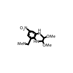 CNCc1cc([N+](=O)[O-])cc2c1NC(OC)C(OC)N2